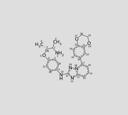 CC(N)[C@@H](C)Oc1ccc(Nc2nc3cccc(-c4ccc5c(c4)OCCO5)n3n2)cc1